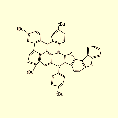 CC(C)(C)c1ccc(-c2cc(C(C)(C)C)ccc2N2c3cc(C(C)(C)C)ccc3B3c4sc5c(ccc6oc7ccccc7c65)c4N(c4ccc(C(C)(C)C)cc4)c4cccc2c43)cc1